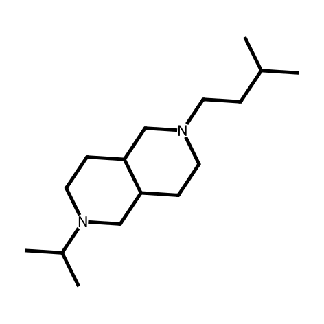 CC(C)CCN1CCC2CN(C(C)C)CCC2C1